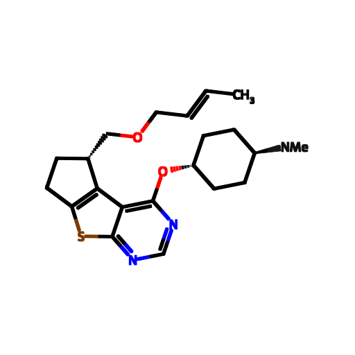 C/C=C/COC[C@H]1CCc2sc3ncnc(O[C@H]4CC[C@H](NC)CC4)c3c21